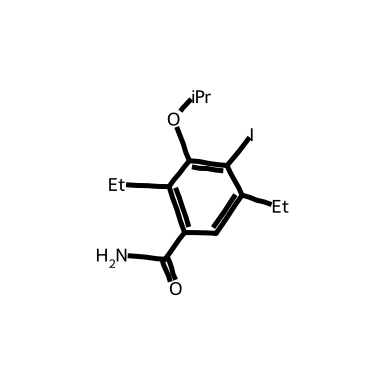 CCc1cc(C(N)=O)c(CC)c(OC(C)C)c1I